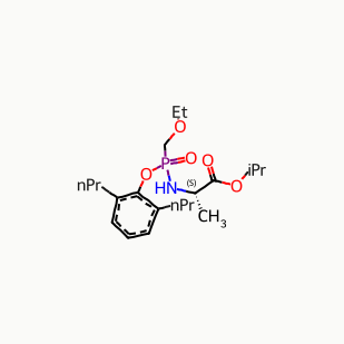 CCCc1cccc(CCC)c1OP(=O)(COCC)N[C@@H](C)C(=O)OC(C)C